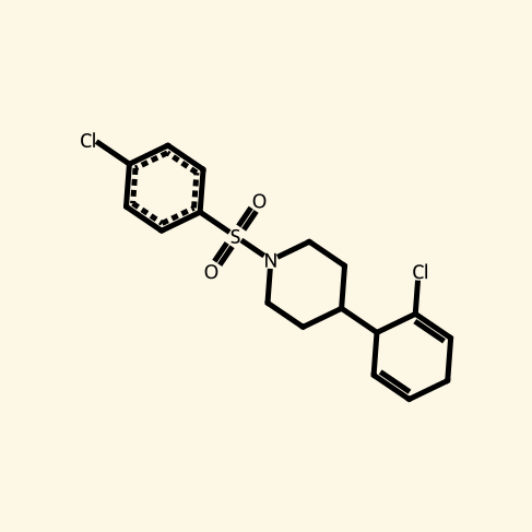 O=S(=O)(c1ccc(Cl)cc1)N1CCC(C2C=CCC=C2Cl)CC1